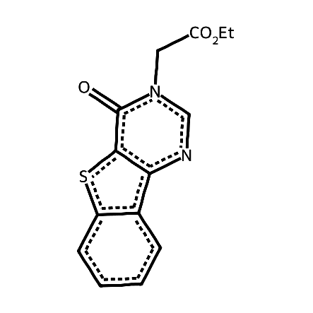 CCOC(=O)Cn1cnc2c(sc3ccccc32)c1=O